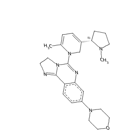 CC1=CC=C([C@@H]2CCCN2C)CN1C1=Nc2cc(N3CCOCC3)ccc2C2=NCCN21